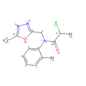 CCc1ccccc1N(Cc1nnc(C(F)(F)F)o1)C(=O)C(Cl)CC